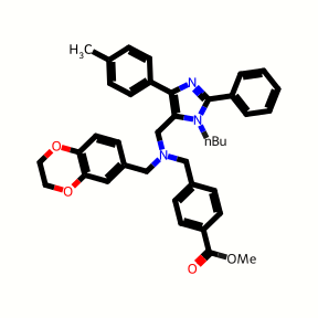 CCCCn1c(-c2ccccc2)nc(-c2ccc(C)cc2)c1CN(Cc1ccc(C(=O)OC)cc1)Cc1ccc2c(c1)OCCO2